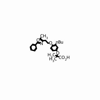 CCCCc1cc(OC(C)(C)C(=O)O)ccc1OCCc1nc(-c2ccccc2)oc1C